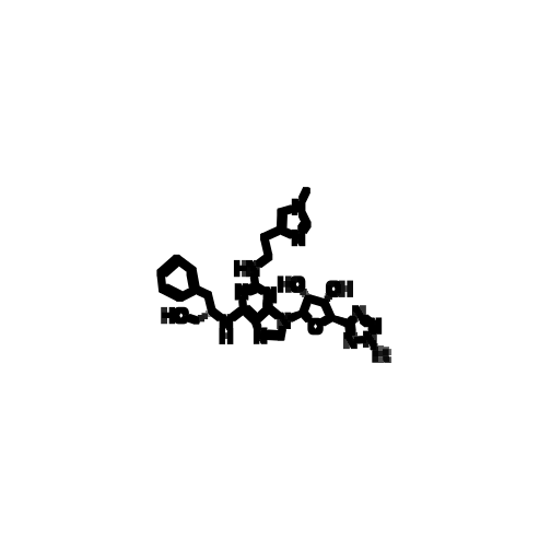 CCn1nnc([C@H]2O[C@@H](n3cnc4c(N[C@H](CO)Cc5ccccc5)nc(NCCc5cn(C)cn5)nc43)[C@H](O)[C@@H]2O)n1